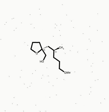 COCCC[C@H](C)C[C@@]1(CO)CCCO1